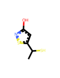 CC(S)c1cc(O)ns1